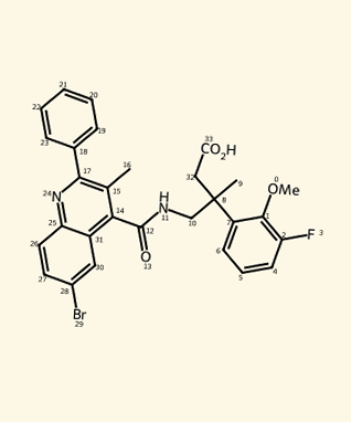 COc1c(F)cccc1C(C)(CNC(=O)c1c(C)c(-c2ccccc2)nc2ccc(Br)cc12)CC(=O)O